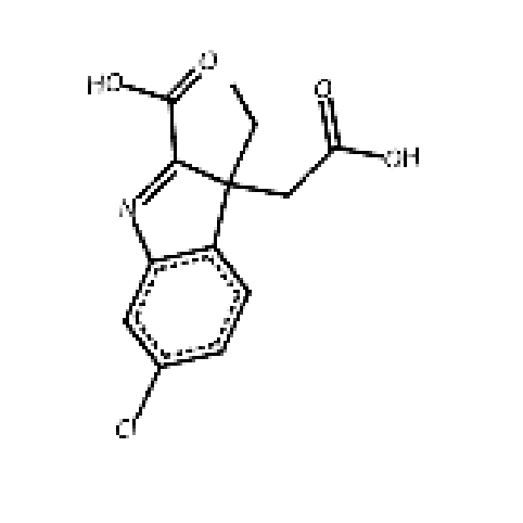 CCC1(CC(=O)O)C(C(=O)O)=Nc2cc(Cl)ccc21